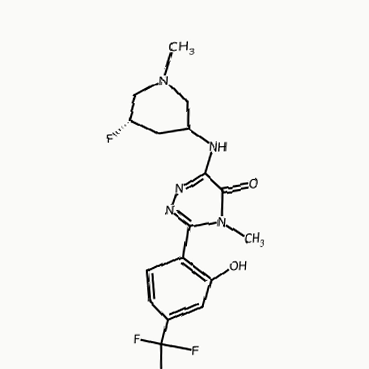 CN1CC(Nc2nnc(-c3ccc(C(F)(F)F)cc3O)n(C)c2=O)C[C@H](F)C1